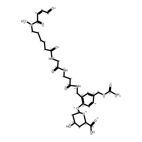 CN(CCCCCC(=O)NCC(=O)NCCC(=O)NCc1cc(COC(N)=O)ccc1OC1CC(O)CC(C(=O)O)O1)C(=O)/C=C\C=O